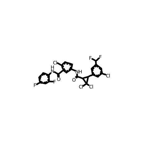 O=C(Nc1ccc(F)cc1F)c1cc(NC(=O)C2C(c3cc(Cl)cc(C(F)F)c3)C2(Cl)Cl)ccc1Cl